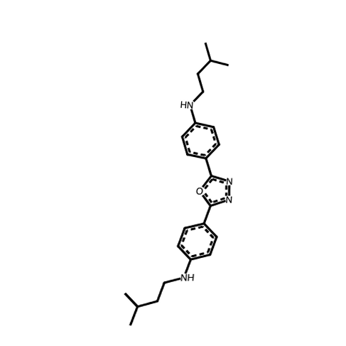 CC(C)CCNc1ccc(-c2nnc(-c3ccc(NCCC(C)C)cc3)o2)cc1